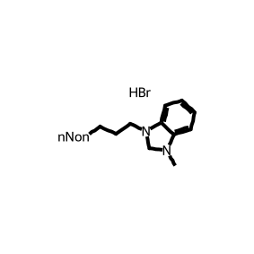 Br.CCCCCCCCCCCCN1CN(C)c2ccccc21